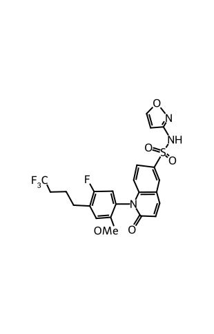 COc1cc(CCCC(F)(F)F)c(F)cc1-n1c(=O)ccc2cc(S(=O)(=O)Nc3ccon3)ccc21